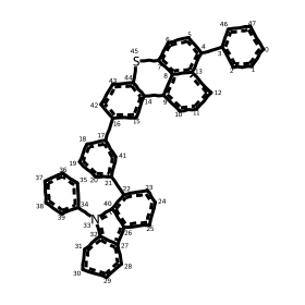 c1ccc(-c2ccc3c4c(cccc24)-c2cc(-c4cccc(-c5cccc6c7ccccc7n(-c7ccccc7)c56)c4)ccc2S3)cc1